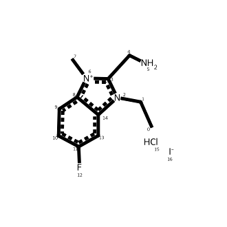 CCn1c(CN)[n+](C)c2ccc(F)cc21.Cl.[I-]